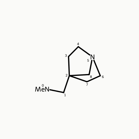 CNCC12CCN(CC1)C2